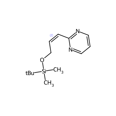 CC(C)(C)[Si](C)(C)OC/C=C\c1ncccn1